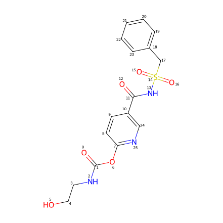 O=C(NCCO)Oc1ccc(C(=O)NS(=O)(=O)Cc2ccccc2)cn1